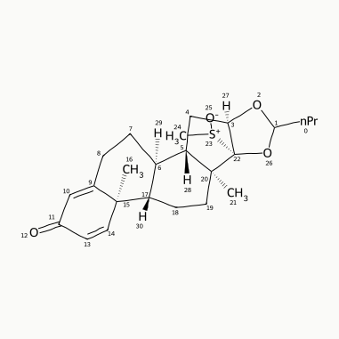 CCCC1O[C@@H]2C[C@H]3[C@@H]4CCC5=CC(=O)C=C[C@]5(C)[C@H]4CC[C@]3(C)[C@]2([S+](C)[O-])O1